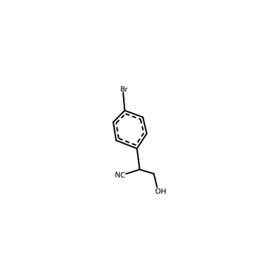 N#CC(CO)c1ccc(Br)cc1